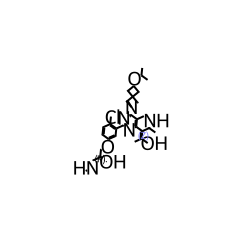 CNC[C@@H](O)COc1ccc(Cl)c(-c2nc(/C(C(C)=N)=C(\C)O)c(C)c(N3CC4(CC(OC(C)C)C4)C3)n2)c1